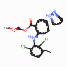 CCOCOC(=O)c1ccccc1Nc1c(Cl)ccc(C)c1Cl.c1cn[nH]c1